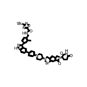 Cc1cc(-c2n[nH]c3ccc(-c4ccc(N5CCC(N(C)Cc6cc7c(cc6Br)C(=O)N(C6CCC(=O)NC6=O)C7)CC5)cc4)cc23)ccc1CNC(=O)c1nc(C(C)(C)C)no1